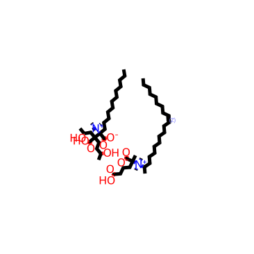 CCCCCCCC/C=C\CCCCCCCCC(C)[N+](C)(C)C(C)(CCCC(=O)O)C(=O)[O-].CCCCCCCCCCCCC(C(=O)[O-])(C(CCC(C)O)(CC(C)O)C(=O)O)[N+](C)(C)C